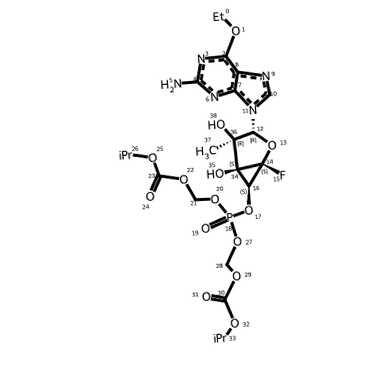 CCOc1nc(N)nc2c1ncn2[C@@H]1O[C@]2(F)[C@@H](OP(=O)(OCOC(=O)OC(C)C)OCOC(=O)OC(C)C)[C@]2(O)[C@@]1(C)O